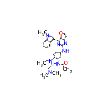 CCN(CCN(C)C)c1ccc(Nc2nc(-c3cn(C)c4ccccc34)c3occc3n2)cc1NC(C)=O